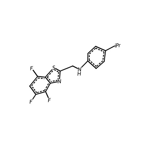 CC(C)c1ccc(NCc2nc3c(F)c(F)cc(F)c3s2)cc1